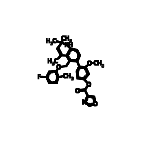 COc1cc(OC(=O)c2cocn2)ccc1-c1ccc2c(c1COc1cc(F)ccc1C)C(C)=CC(C)(C)N2